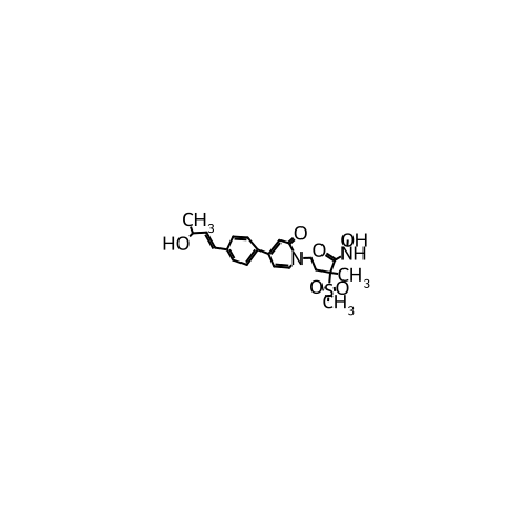 CC(O)C=Cc1ccc(-c2ccn(CCC(C)(C(=O)NO)S(C)(=O)=O)c(=O)c2)cc1